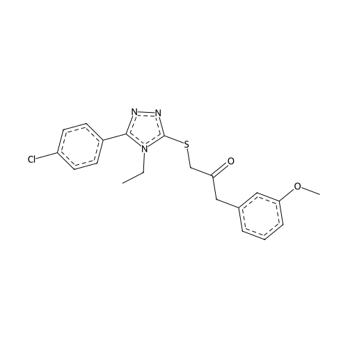 CCn1c(SCC(=O)Cc2cccc(OC)c2)nnc1-c1ccc(Cl)cc1